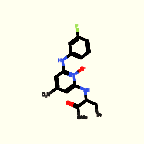 COC(=O)C(CC(C)C)Nc1cc([N+](=O)[O-])cc(Nc2cccc(F)c2)[n+]1[O-]